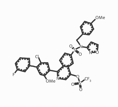 COc1ccc(CN(c2ccon2)S(=O)(=O)c2ccc3c(-c4cc(Cl)c(-c5cccc(F)c5)cc4OC)ncc(OS(=O)(=O)C(F)(F)F)c3c2)cc1